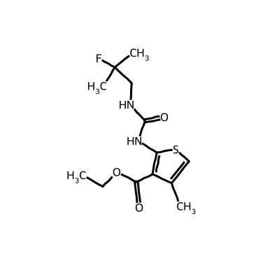 CCOC(=O)c1c(C)csc1NC(=O)NCC(C)(C)F